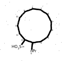 CCCC1CCCCCCCCCCCC1S(=O)(=O)O